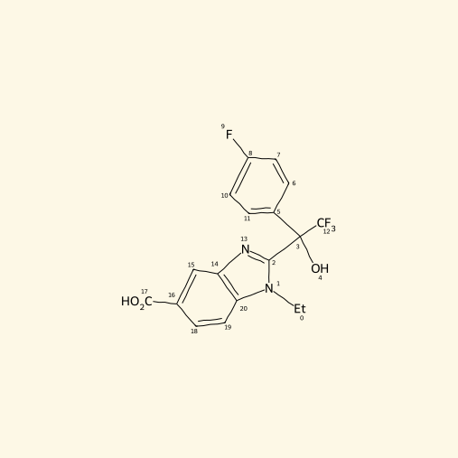 CCn1c(C(O)(c2ccc(F)cc2)C(F)(F)F)nc2cc(C(=O)O)ccc21